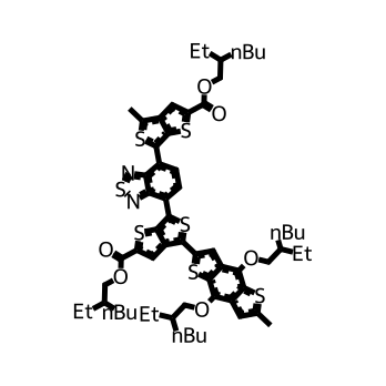 CCCCC(CC)COC(=O)c1cc2c(C)sc(-c3ccc(-c4sc(-c5cc6c(OCC(CC)CCCC)c7sc(C)cc7c(OCC(CC)CCCC)c6s5)c5cc(C(=O)OCC(CC)CCCC)sc45)c4nsnc34)c2s1